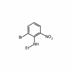 CCNc1c(Br)cccc1[N+](=O)[O-]